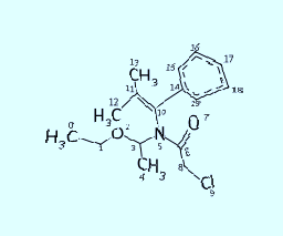 CCOC(C)N(C(=O)CCl)C(=C(C)C)c1ccccc1